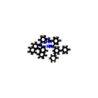 N=C(c1cc(C2=CC=CCC2)cc(-c2ccccc2)c1)c1ccccc1NCc1cccc(-n2c3ccc4ccccc4c3c3c4ccccc4ccc32)c1